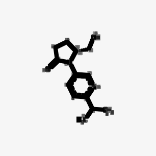 CC(C)c1ccc(N2C(=O)CC[C@@H]2CO)cn1